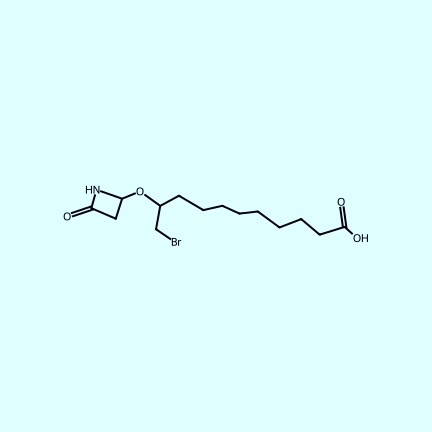 O=C(O)CCCCCCCCC(CBr)OC1CC(=O)N1